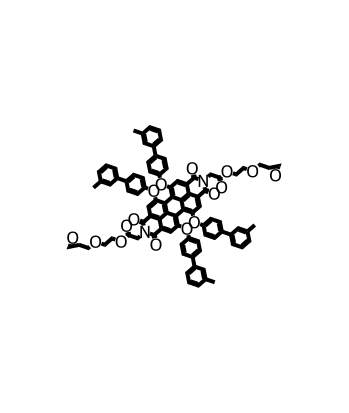 Cc1cccc(-c2ccc(Oc3cc4c5c(cc(Oc6ccc(-c7cccc(C)c7)cc6)c6c7c(Oc8ccc(-c9cccc(C)c9)cc8)cc8c9c(cc(Oc%10ccc(-c%11cccc(C)c%11)cc%10)c(c3c56)c97)C(=O)N(CC(=O)OCCOCC3CO3)C8=O)C(=O)N(CC(=O)OCCOCC3CO3)C4=O)cc2)c1